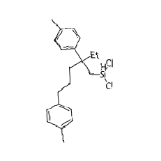 CCC(CCCc1ccc(C)cc1)(C[SiH](Cl)Cl)c1ccc(C)cc1